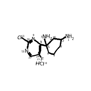 Cl.NC1CCCC(N)(c2nc(Cl)ncc2F)C1